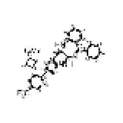 CO[C@H]1C[C@H](c2cc(C(F)(F)F)cnc2-c2nnc(N[C@@H]3N=C(c4ccccc4)c4ccccc4NC3=O)o2)C1